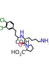 NCCCC[C@H](NC(CCc1ccc(Cl)c(Cl)c1)C(=O)O)C(=O)N1CCC[C@H]1C(=O)O